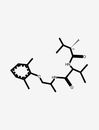 Cc1cccc(C)c1OCC(C)NC(=O)C(NC(=O)[C@@H](C)C(C)C)C(C)C